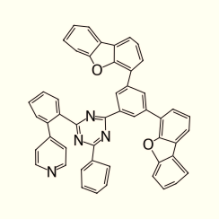 c1ccc(-c2nc(-c3cc(-c4cccc5c4oc4ccccc45)cc(-c4cccc5c4oc4ccccc45)c3)nc(-c3ccccc3-c3ccncc3)n2)cc1